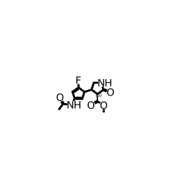 COC(=O)[C@@H]1C(=O)NCC1C1C=C(NC(C)=O)C=C1F